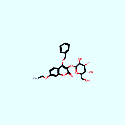 CCCCCCCCCCCOc1ccc2c(OCc3ccccc3)c(O[C@@H]3O[C@H](CO)[C@@H](O)[C@H](O)[C@@H]3O)c(=O)oc2c1